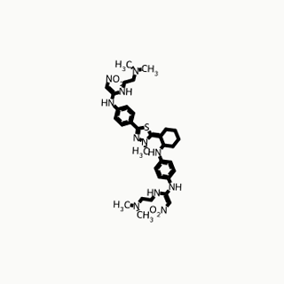 CN(C)CCN/C(=C\[N+](=O)[O-])Nc1ccc(NC2CCCC/C2=C2\SC(c3ccc(N/C(=C/[N+](=O)[O-])NCCN(C)C)cc3)=NN2C)cc1